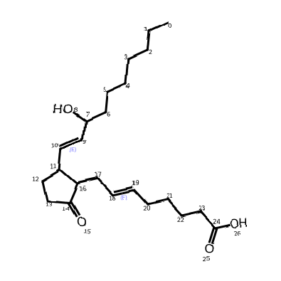 CCCCCCCC(O)/C=C/C1CCC(=O)C1C/C=C/CCCCC(=O)O